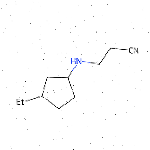 CCC1CCC(NCCC#N)C1